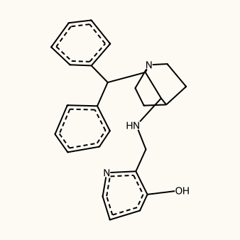 Oc1cccnc1CNC1C2CCN(CC2)C1C(c1ccccc1)c1ccccc1